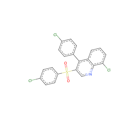 O=S(=O)(c1ccc(Cl)cc1)c1cnc2c(Cl)cccc2c1-c1ccc(Cl)cc1